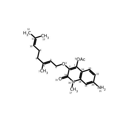 CC(=O)Oc1c(OC/C=C(\C)CCC=C(C)C)c(=O)n(C)c2cc(N)ccc12